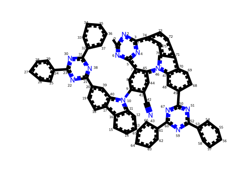 Cc1nc2nc(n1)c1cc(-n3c4ccccc4c4ccc(-c5nc(-c6ccccc6)nc(-c6ccccc6)n5)cc43)c(C#N)cc1n1c3cc(-c4nc(-c5ccccc5)nc(-c5ccccc5)n4)ccc3c3ccc2cc31